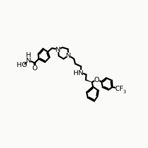 O=C(NO)c1ccc(CN2CCN(CCCNCC[C@@H](Oc3ccc(C(F)(F)F)cc3)c3ccccc3)CC2)cc1